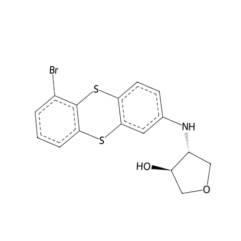 O[C@@H]1COC[C@H]1Nc1ccc2c(c1)Sc1cccc(Br)c1S2